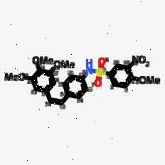 COc1ccc(S(=O)(=O)Nc2ccc(/C=C\c3cc(OC)c(OC)c(OC)c3)cc2)cc1[N+](=O)[O-]